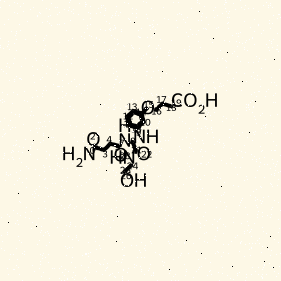 NC(=O)CCC(=O)NC(Nc1cccc(OCCCC(=O)O)c1)C(=O)NCCO